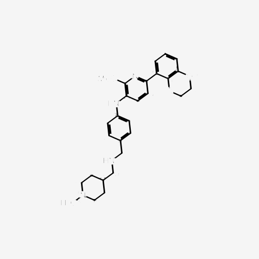 COc1nc(-c2cccc3c2OCCO3)ccc1Nc1ccc(CNCC2CCN(C)CC2)cc1